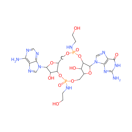 Nc1nc2c(ncn2C2OC3COP(=O)(NCCO)OC4C(COP(=O)(NCCO)OC2C3O)OC(n2cnc3c(N)ncnc32)C4O)c(=O)[nH]1